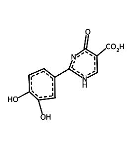 O=C(O)c1c[nH]c(-c2ccc(O)c(O)c2)nc1=O